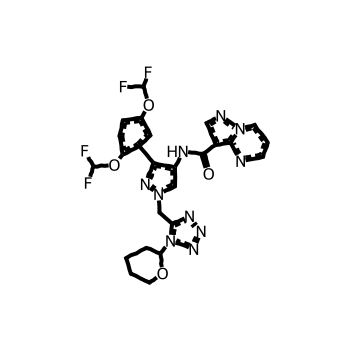 O=C(Nc1cn(Cc2nnnn2C2CCCCO2)nc1-c1cc(OC(F)F)ccc1OC(F)F)c1cnn2cccnc12